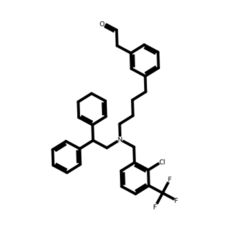 O=CCc1cccc(CCCCN(Cc2cccc(C(F)(F)F)c2Cl)CC(C2=CCCC=C2)c2ccccc2)c1